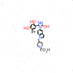 CC(C)c1cc(-c2nnc(O)n2-c2ccc3c(ccn3CC3CCN(C(=O)O)CC3)c2)c(O)cc1O